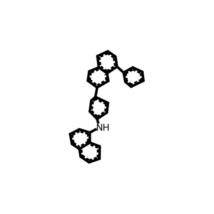 c1ccc(-c2cccc3ccc(-c4ccc(Nc5cccc6ccccc56)cc4)cc23)cc1